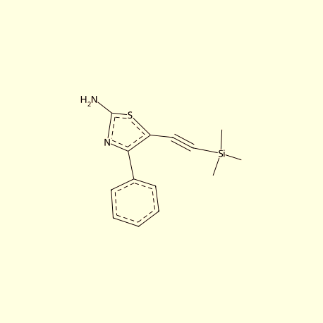 C[Si](C)(C)C#Cc1sc(N)nc1-c1ccccc1